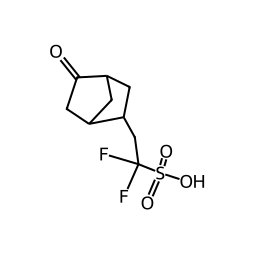 O=C1CC2CC1CC2CC(F)(F)S(=O)(=O)O